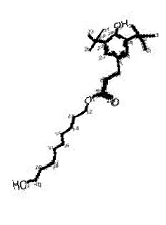 CC(C)(C)c1cc(CCC(=O)OCCCCCCCCCO)cc(C(C)(C)C)c1O